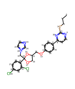 CCCSc1nccc(-c2ccc(OCC3COC(Cn4ccnc4)(c4ccc(Cl)cc4Cl)O3)cc2)n1